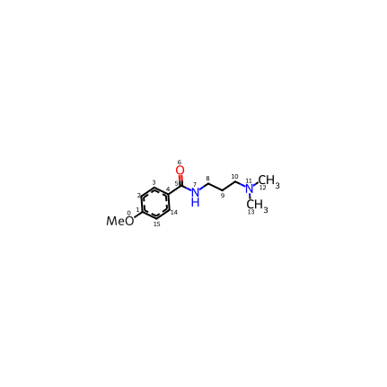 COc1ccc(C(=O)NCCCN(C)C)cc1